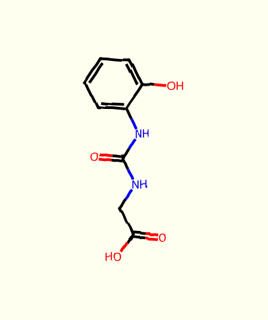 O=C(O)CNC(=O)Nc1ccccc1O